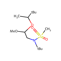 COC(CN(C(C)(C)C)S(C)(=O)=O)OC(C)C(C)(C)C